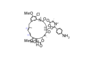 COc1cc2cc(c1Cl)N(C)C(=O)C[C@H](OC(=O)[C@H](C)N(C)C(=O)c1ccc(N)cc1)[C@]1(C)OC1[C@H](C)C1C[C@@](O)(NC(=O)O1)[C@H](OC)/C=C/C=C(\C)C2